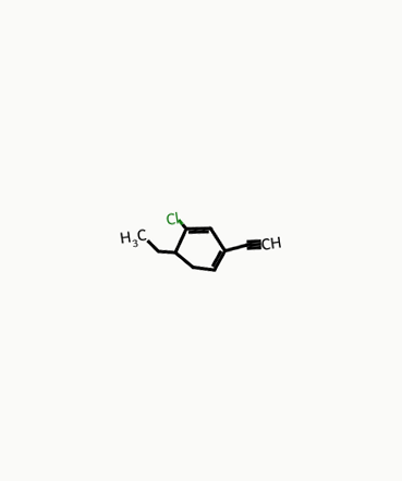 C#CC1=CCC(CC)C(Cl)=C1